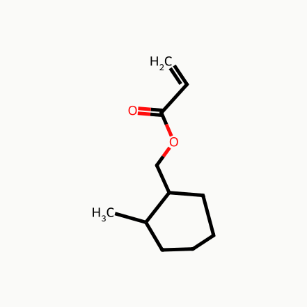 C=CC(=O)OCC1CCCCC1C